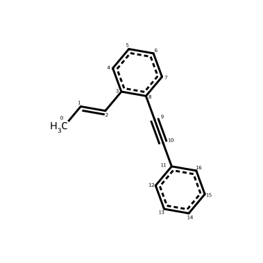 CC=Cc1ccccc1C#Cc1ccccc1